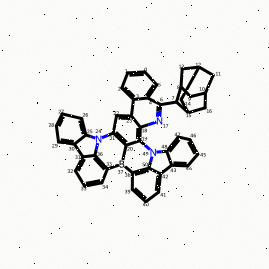 c1ccc2c(c1)c(C1C3CC4CC(C3)CC1C4)nc1c3c4c(cc12)-n1c2ccccc2c2cccc(c21)B4c1cccc2c4ccccc4n-3c12